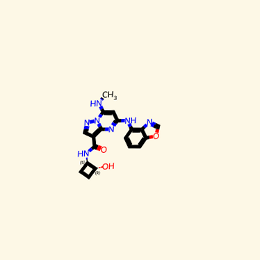 CNc1cc(Nc2cccc3ocnc23)nc2c(C(=O)N[C@H]3CC[C@H]3O)cnn12